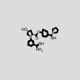 N=C(N)c1cccc(N2C[C@H](O)C[C@H]2C(=O)Oc2ccc(C(=N)N3CCCC3)cc2)c1